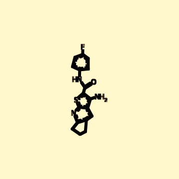 Nc1c(C(=O)Nc2ccc(F)cc2)sc2nc3c(cc12)CCC3